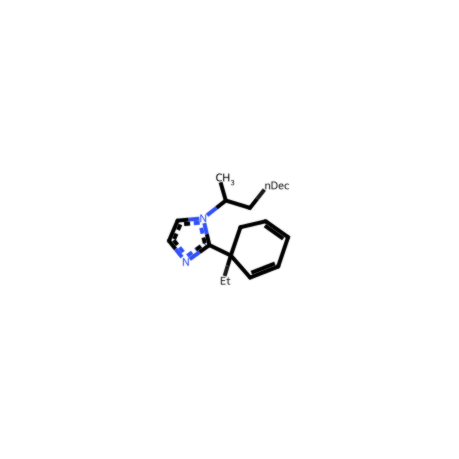 CCCCCCCCCCCC(C)n1ccnc1C1(CC)C=CC=CC1